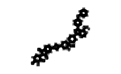 Nc1ncnc2c1c(-c1ccc(Oc3ccccc3)cc1)nn2C1CCN(C2(O)CCN(C3CN(c4ccc5c(c4)C(=O)N(C4CCC(=O)NC4=O)C5=O)C3)C[C@H]2F)CC1